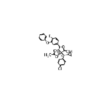 CC(=O)O[C@@H](Cc1ccc(F)c(Oc2ccccc2)c1)[C@](F)(C(=O)O)[C@H](c1ccc(Cl)cc1)C1CC1